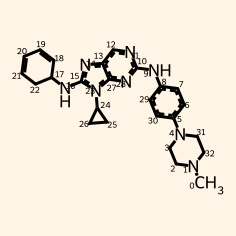 CN1CCN(c2ccc(Nc3ncc4nc(NC5C=CC=CC5)n(C5CC5)c4n3)cc2)CC1